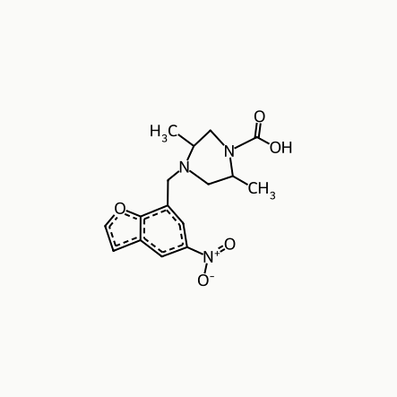 CC1CN(C(=O)O)C(C)CN1Cc1cc([N+](=O)[O-])cc2ccoc12